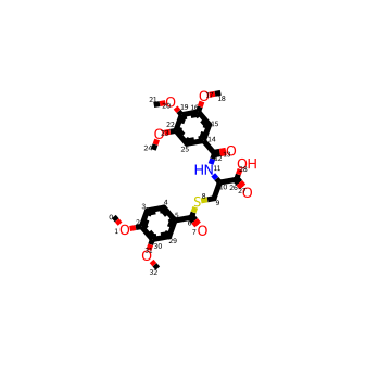 COc1ccc(C(=O)SCC(NC(=O)c2cc(OC)c(OC)c(OC)c2)C(=O)O)cc1OC